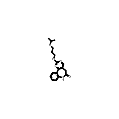 CC(C)OCCCNc1ncc2c(n1)-c1ccccc1NC(=O)C2